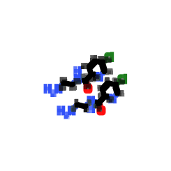 NCCNC(=O)c1ccc(Cl)cn1.NCCNC(=O)c1ccc(Cl)cn1